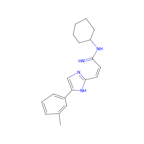 Cc1cccc(-c2cnc(/C=C\C(=N)NC3CCCCC3)[nH]2)c1